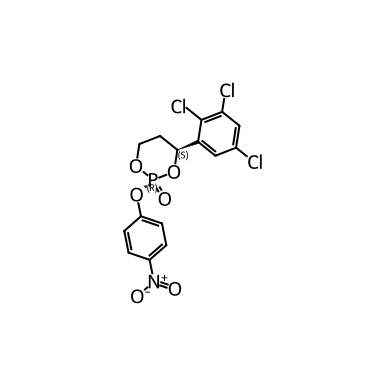 O=[N+]([O-])c1ccc(O[P@]2(=O)OCC[C@@H](c3cc(Cl)cc(Cl)c3Cl)O2)cc1